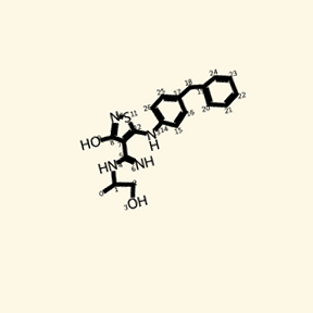 CC(CO)NC(=N)c1c(O)nsc1Nc1ccc(Cc2ccccc2)cc1